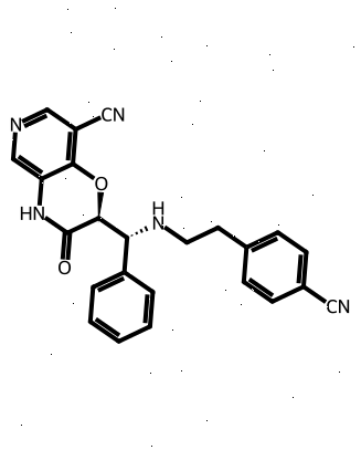 N#Cc1ccc(CCN[C@H](c2ccccc2)[C@@H]2Oc3c(C#N)cncc3NC2=O)cc1